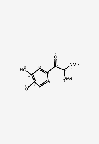 CNC(OC)C(=O)c1ccc(O)c(O)c1